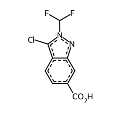 O=C(O)c1ccc2c(Cl)n(C(F)F)nc2c1